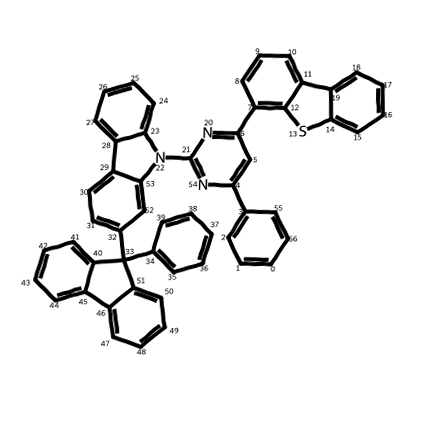 c1ccc(-c2cc(-c3cccc4c3sc3ccccc34)nc(-n3c4ccccc4c4ccc(C5(c6ccccc6)c6ccccc6-c6ccccc65)cc43)n2)cc1